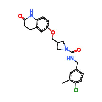 Cc1cc(CNC(=O)N2CC(COc3ccc4c(c3)CCC(=O)N4)C2)ccc1Cl